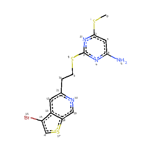 CSc1cc(N)nc(SCCc2cc3c(Br)csc3cn2)n1